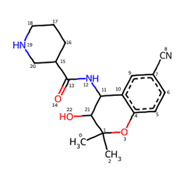 CC1(C)Oc2ccc(C#N)cc2C(NC(=O)C2CCCNC2)C1O